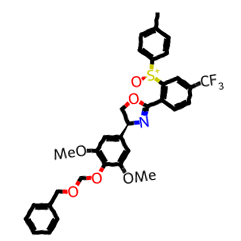 COc1cc([C@H]2COC(c3ccc(C(F)(F)F)cc3[S@@+]([O-])c3ccc(C)cc3)=N2)cc(OC)c1OCOCc1ccccc1